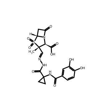 C[C@]1(/C=N/NC(=O)C2(NC(=O)c3ccc(O)c(O)c3)CC2)[C@H](C(=O)O)N2C(=O)C[C@H]2S1(=O)=O